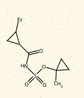 CCC1CC1C(=O)NS(=O)(=O)OC1(C)CC1